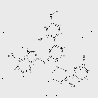 COc1ccc(-c2cc(Cn3cnc4c(N)ncnc43)c(N3CCC[C@](N)(c4cccc(Cl)n4)C3)cn2)c(F)c1